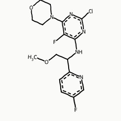 COCC(Nc1nc(Cl)nc(N2CCOCC2)c1F)c1ccc(F)cn1